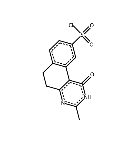 Cc1nc2c(c(=O)[nH]1)-c1cc(S(=O)(=O)Cl)ccc1CC2